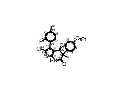 CCOc1ccc(C2(C)C(=O)Nc3sc(Cl)c(-c4ccc(C)cc4F)c3C2=O)cc1